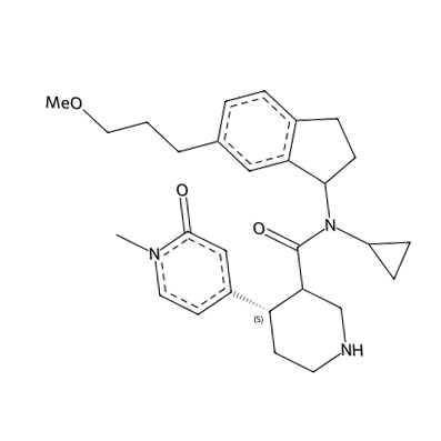 COCCCc1ccc2c(c1)C(N(C(=O)C1CNCC[C@@H]1c1ccn(C)c(=O)c1)C1CC1)CC2